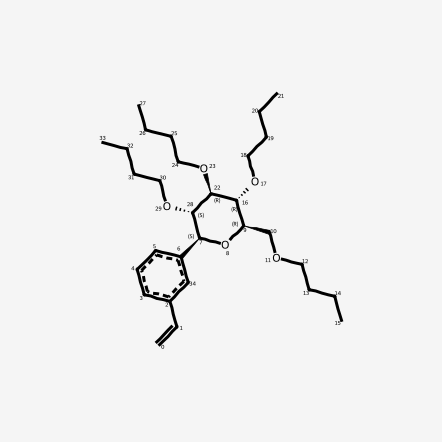 C=Cc1cccc([C@@H]2O[C@H](COCCCC)[C@@H](OCCCC)[C@H](OCCCC)[C@H]2OCCCC)c1